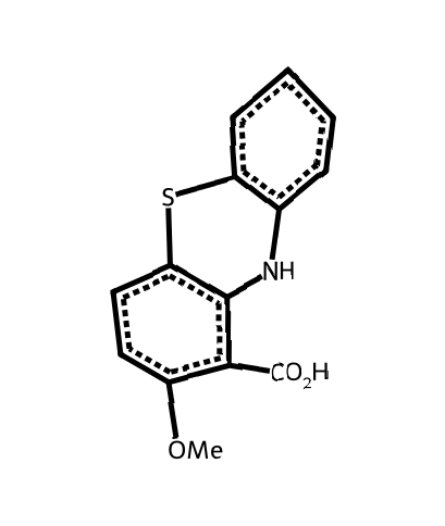 COc1ccc2c(c1C(=O)O)Nc1ccccc1S2